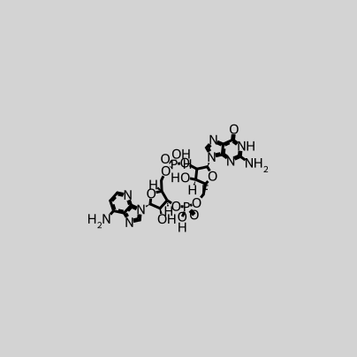 Nc1nc2c(ncn2[C@@H]2O[C@]3(F)COP(=O)(O)O[C@H]4[C@@H](O)[C@H](n5cnc6c(N)ccnc65)O[C@@H]4COP(=O)(O)O[C@@H]2[C@@H]3O)c(=O)[nH]1